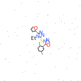 CCn1c(SCc2ccc(C)cc2-c2nnco2)nnc1-c1ccco1